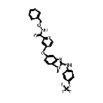 Cn1c(Nc2ccc(SC(F)(F)F)cc2)nc2cc(Oc3ccnc(C(=O)NOCc4ccccc4)c3)ccc21